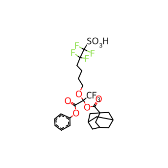 O=C(OC(OCCCCC(F)(F)C(F)(F)S(=O)(=O)O)(C(=O)Oc1ccccc1)C(F)(F)F)C12CC3CC(CC(C3)C1)C2